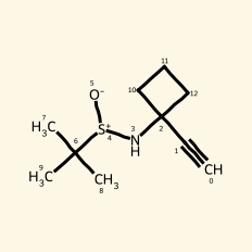 C#CC1(N[S+]([O-])C(C)(C)C)CCC1